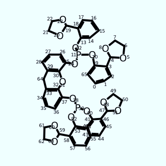 c1ccc(C2OCCO2)c(OP(Oc2ccccc2C2OCCO2)Oc2cccc3c2Oc2c(cccc2OP(Oc2ccccc2C2OCCO2)Oc2ccccc2C2OCCO2)C3)c1